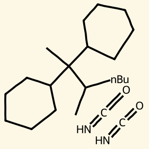 CCCCC(C)C(C)(C1CCCCC1)C1CCCCC1.N=C=O.N=C=O